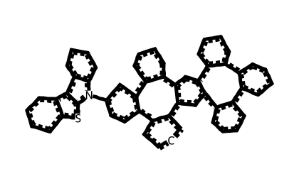 c1ccc2c(c1)sc1c2c2ccccc2n1-c1ccc2c3ccccc3c3cc4c5ccccc5c5ccccc5c5ccccc5c4cc3c3ccccc3c2c1